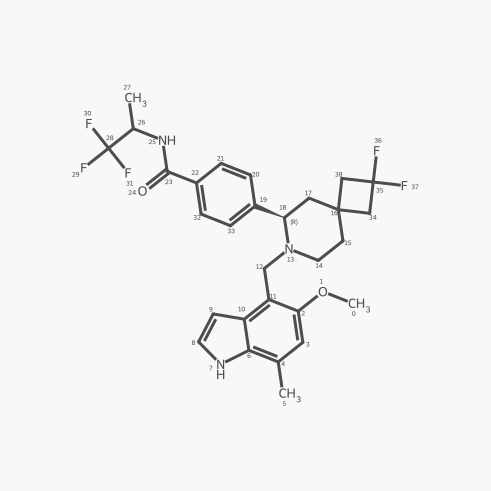 COc1cc(C)c2[nH]ccc2c1CN1CCC2(C[C@@H]1c1ccc(C(=O)NC(C)C(F)(F)F)cc1)CC(F)(F)C2